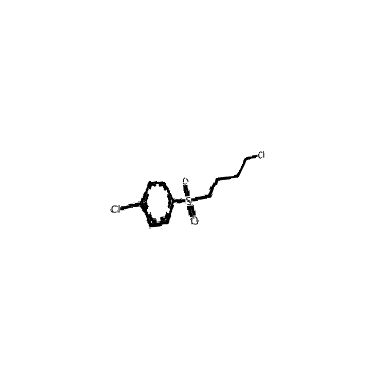 O=S(=O)(CCCCCl)c1ccc(Cl)cc1